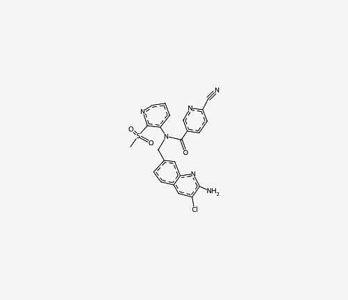 CS(=O)(=O)c1ncccc1N(Cc1ccc2cc(Cl)c(N)nc2c1)C(=O)c1ccc(C#N)nc1